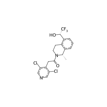 C[C@H]1c2cccc([C@H](O)C(F)(F)F)c2CCN1C(=O)Cc1c(Cl)cncc1Cl